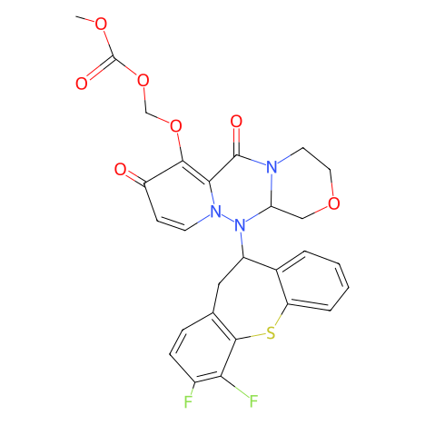 COC(=O)OCOc1c2n(ccc1=O)N(C1Cc3ccc(F)c(F)c3Sc3ccccc31)C1COCCN1C2=O